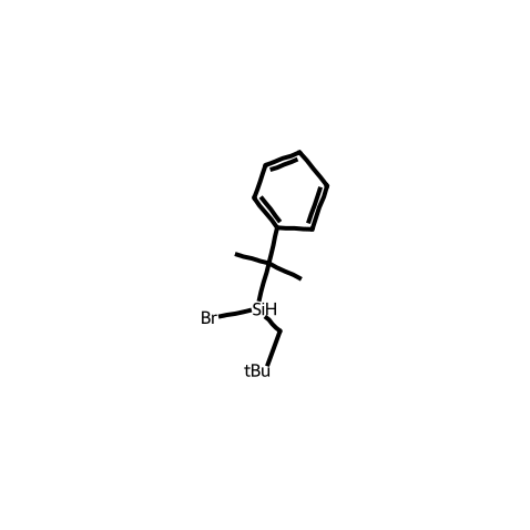 CC(C)(C)C[SiH](Br)C(C)(C)c1ccccc1